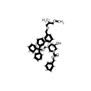 COC[C@H](C)COCc1ccc([C@H]2[C@H](COC(c3ccccc3)(c3ccccc3)c3ccccc3)CN(C(=O)OCc3ccccc3)C[C@@H]2O)cc1